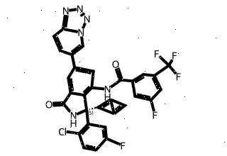 O=C(Nc1cc(-c2ccc3nnnn3c2)cc2c1[C@@](C1=C3C=C31)(c1cc(F)ccc1Cl)NC2=O)c1cc(F)cc(C(F)(F)F)c1